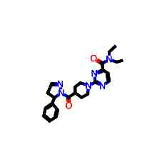 CCN(CC)C(=O)c1ccnc(N2CCC(C(=O)N3N=CCC3c3ccccc3)CC2)n1